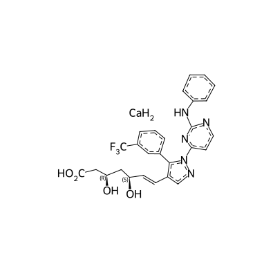 O=C(O)C[C@H](O)C[C@H](O)C=Cc1cnn(-c2ccnc(Nc3ccccc3)n2)c1-c1cccc(C(F)(F)F)c1.[CaH2]